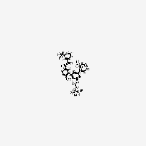 Cc1ccc(NC(=O)c2ccnc(C(F)(F)F)c2)cc1-c1cc(OCCOP(=O)(O)O)nc(N2CCOC[C@H]2C)c1